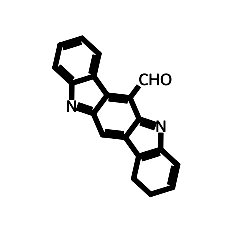 O=Cc1c2c(cc3c1=NC1=C3CCC=C1)=Nc1ccccc1-2